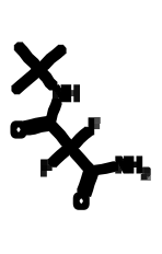 CC(C)(C)NC(=O)C(F)(F)C(N)=O